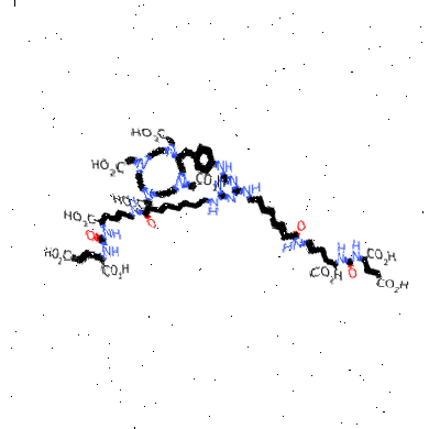 O=C(O)CC[C@H](NC(=O)N[C@@H](CCCCNC(=O)CCCCCCCNc1nc(NCCCCCCCC(=O)NCCCC[C@H](NC(=O)N[C@@H](CCC(=O)O)C(=O)O)C(=O)O)nc(Nc2ccc(CC3CN(CC(=O)O)CCN(CC(=O)O)CCN(CC(=O)O)CCN3CC(=O)O)cc2)n1)C(=O)O)C(=O)O